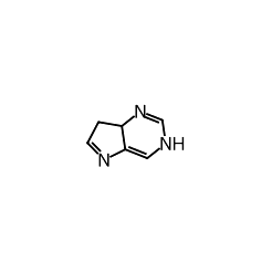 C1=NC2=CNC=NC2C1